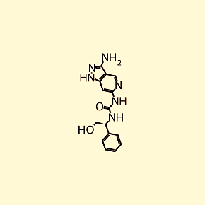 Nc1n[nH]c2cc(NC(=O)N[C@H](CO)c3ccccc3)ncc12